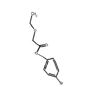 CCOCC(=O)Oc1ccc(Br)cc1